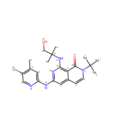 [2H]C([2H])([2H])n1ccc2cc(Nc3cc(C)c(Cl)cn3)nc(NC(C)(C)CO)c2c1=O